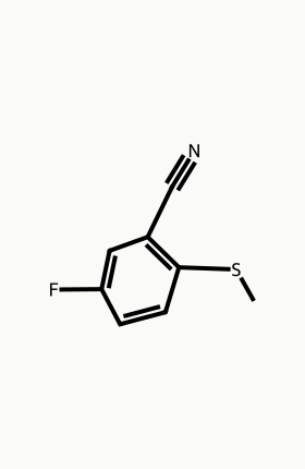 CSc1ccc(F)cc1C#N